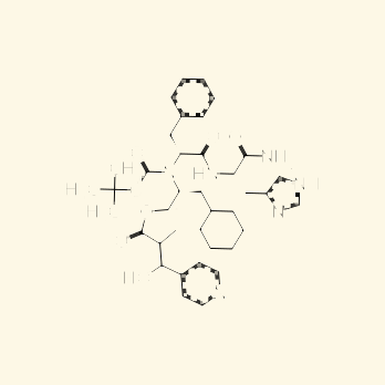 CC(C)(C)OC(=O)N([C@@H](Cc1ccccc1)C(=O)N[C@@H](Cc1c[nH]cn1)C(N)=O)[C@@H](CC1CCCCC1)[C@@H]1CC(C(O)c2ccncc2)C(=O)O1